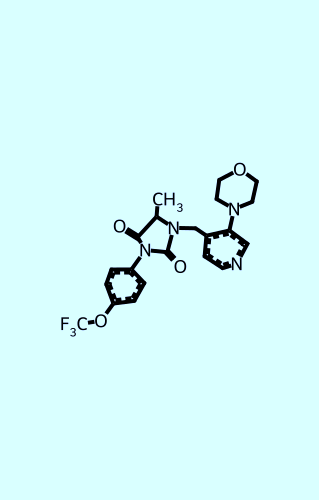 CC1C(=O)N(c2ccc(OC(F)(F)F)cc2)C(=O)N1Cc1ccncc1N1CCOCC1